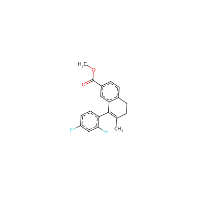 COC(=O)c1ccc2c(c1)C(c1ccc(F)cc1F)=C(C)CC2